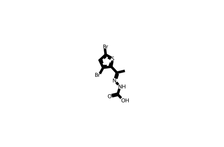 C/C(=N\NC(=O)O)c1sc(Br)cc1Br